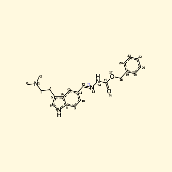 CN(C)CCc1c[nH]c2ccc(/C=N/NC(=O)OCc3ccccc3)cc12